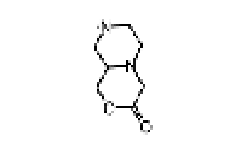 O=C1CN2CC[N]CC2CO1